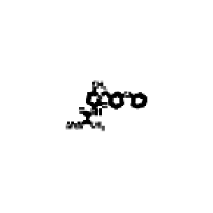 CNC(C)C(=O)Nc1ccc(C)n(Cc2cccc(Oc3ccccc3)c2)c1=O